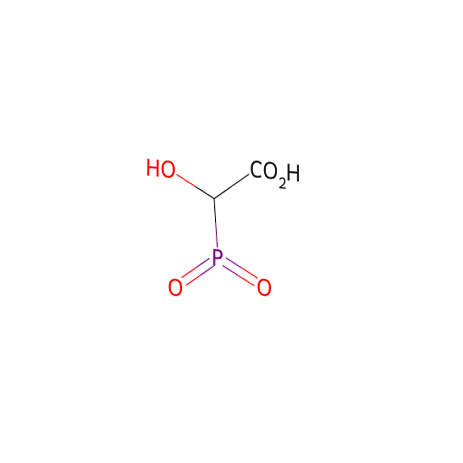 O=C(O)C(O)P(=O)=O